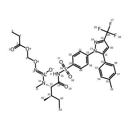 CCC(=O)OCO/N=[N+](\[O-])N(C)[C@H](C(=O)NS(=O)(=O)c1ccc(-n2nc(C(F)(F)F)cc2-c2ccc(C)cc2)cc1)[C@H](C)CC